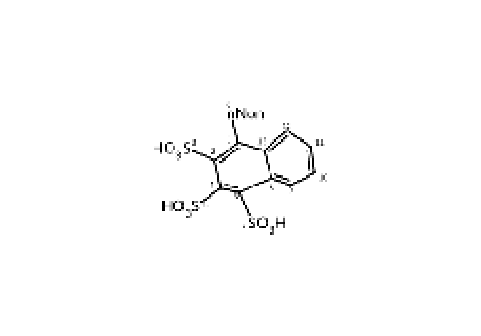 CCCCCCCCCc1c(S(=O)(=O)O)c(S(=O)(=O)O)c(S(=O)(=O)O)c2ccccc12